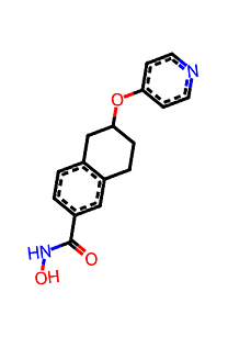 O=C(NO)c1ccc2c(c1)CCC(Oc1ccncc1)C2